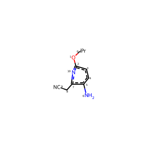 CC(C)Oc1ccc(N)c(CC#N)n1